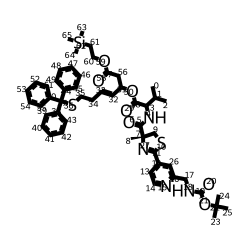 CC(C)C(NC(=O)[C@]1(C)CSC(c2ccnc(CNC(=O)OC(C)(C)C)c2)=N1)C(=O)OC(/C=C/CCSC(c1ccccc1)(c1ccccc1)c1ccccc1)CC(=O)OCC[Si](C)(C)C